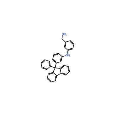 NCc1cccc(Nc2cccc(C3(c4ccccc4)c4ccccc4-c4ccccc43)c2)c1